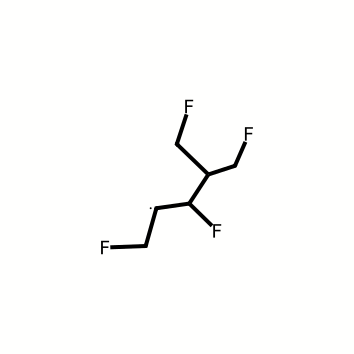 FC[CH]C(F)C(CF)CF